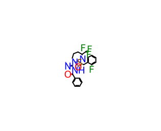 C/N=C(/NC(=O)c1ccccc1)N1CCCC(C(F)(F)F)N=S1(=O)Cc1ccccc1F